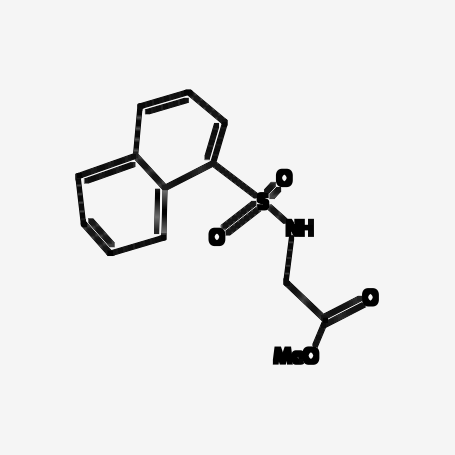 COC(=O)CNS(=O)(=O)c1cccc2ccccc12